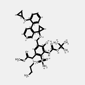 CCCC[C@H](C(=O)OC)c1cc(COC2(c3cnccc3-c3ccccc3OC3CC3)CC2)c(Cl)c(NC(=O)OC(C)(C)C)c1S(N)(=O)=O